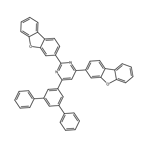 c1ccc(-c2cc(-c3ccccc3)cc(-c3cc(-c4ccc5c(c4)oc4ccccc45)nc(-c4ccc5c(c4)oc4ccccc45)n3)c2)cc1